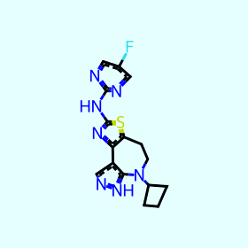 Fc1cnc(Nc2nc3c(s2)CCN(C2CCC2)c2[nH]ncc2-3)nc1